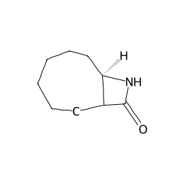 O=C1N[C@@H]2CCCCCCC12